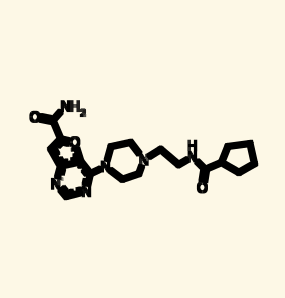 NC(=O)c1cc2ncnc(N3CCN(CCNC(=O)C4CCCC4)CC3)c2o1